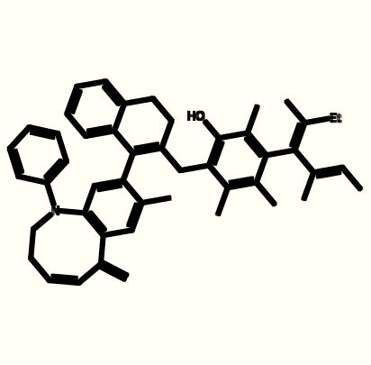 C=C1/C=C\CCN(c2ccccc2)c2cc(C3=C(Cc4c(C)c(C)c(C(/C(C)=C/C)=C(\C)CC)c(C)c4O)CCc4ccccc43)c(C)cc21